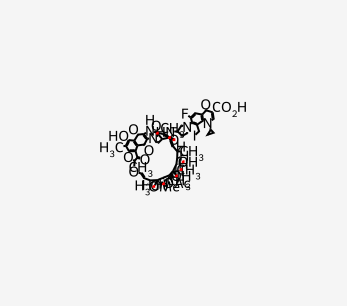 CO[C@H]1/C=C/O[C@@]2(C)Oc3c(C)c(O)c4c(c3C2=O)C(=O)C(N2CC(C(=O)NC3CCN(c5c(F)cc6c(=O)c(C(=O)O)cn(C7CC7)c6c5CI)C3)C2)=C(NC(=O)/C(C)=C\C=C\[C@H](C)[C@H](O)[C@@H](C)[C@@H](O)[C@@H](C)[C@H](OC(C)=O)[C@@H]1C)C4=O